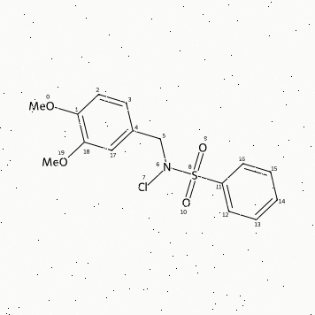 COc1ccc(CN(Cl)S(=O)(=O)c2ccccc2)cc1OC